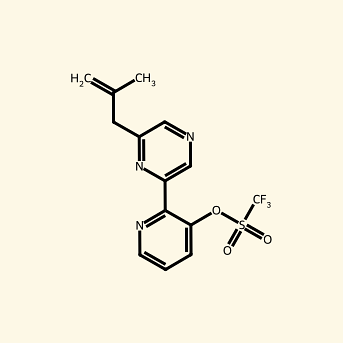 C=C(C)Cc1cncc(-c2ncccc2OS(=O)(=O)C(F)(F)F)n1